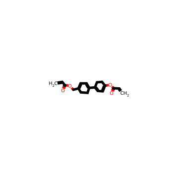 C=CC(=O)OCC1=CC=C(C2=CC=C(OC(=O)C=C)CC2)CC1